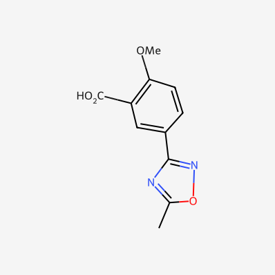 COc1ccc(-c2noc(C)n2)cc1C(=O)O